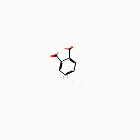 C#C.O=C1OC(=O)c2ccccc21